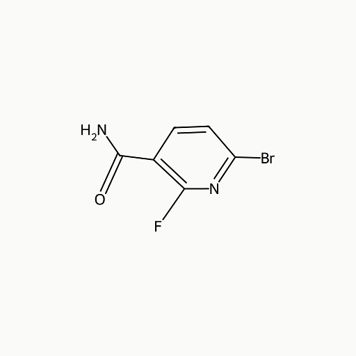 NC(=O)c1ccc(Br)nc1F